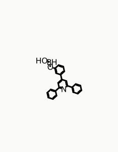 OBOc1cccc(-c2cc(-c3ccccc3)nc(-c3ccccc3)c2)c1